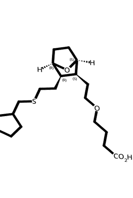 O=C(O)CCCOCC[C@H]1[C@@H](CCSCC2CCCC2)[C@H]2CC[C@@H]1O2